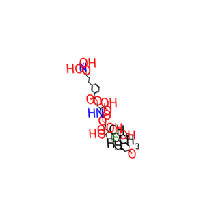 C[C@]12C[C@H](O)[C@@]3(F)[C@@H](CCC4=CC(=O)C=C[C@@]43C)[C@@H]1C[C@@H](O)C2(O)C(=O)COC(=O)NC(COC(=O)c1cccc(CCCON(O)O)c1)C(=O)O